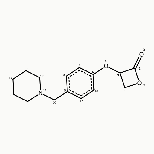 O=C1OCC1Oc1ccc(CN2CCCCC2)cc1